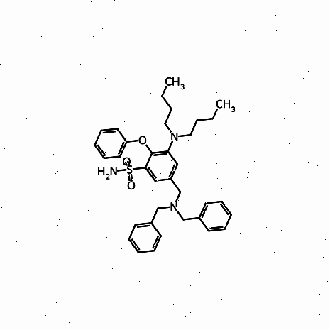 CCCCN(CCCC)c1cc(CN(Cc2ccccc2)Cc2ccccc2)cc(S(N)(=O)=O)c1Oc1ccccc1